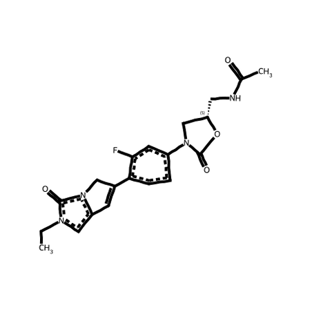 CCn1cc2n(c1=O)CC(c1ccc(N3C[C@H](CNC(C)=O)OC3=O)cc1F)=C2